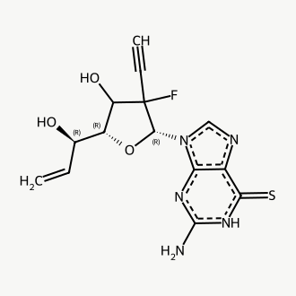 C#CC1(F)C(O)[C@@H]([C@H](O)C=C)O[C@H]1n1cnc2c(=S)[nH]c(N)nc21